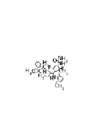 CCc1cccc(CC)c1-n1nc2c(c1-c1cc(F)c(NC(N)=O)cc1F)CN(C(C)(C)c1ccccc1OC)CC2